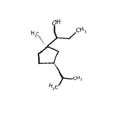 CCC(O)[C@]1(C)CC[C@H](C(C)C)C1